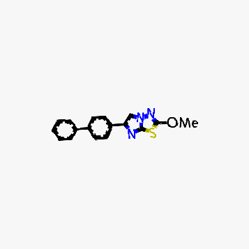 COc1nn2cc(-c3ccc(-c4ccccc4)cc3)nc2s1